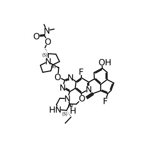 C#Cc1c(F)ccc2cc(O)cc(-c3nc4c5c(nc(OC[C@@]67CCCN6[C@H](COC(=O)N(C)C)CC7)nc5c3F)N3CCN[C@@H](CC)[C@H]3CO4)c12